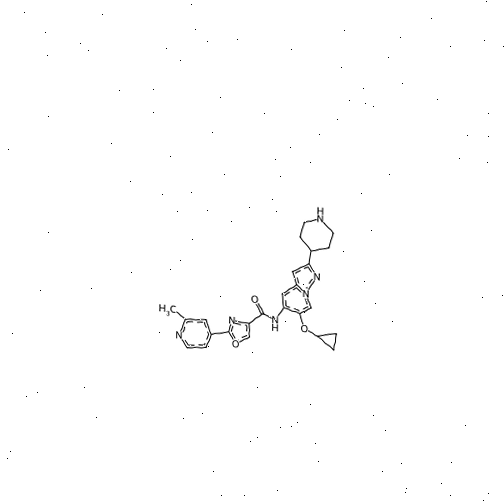 Cc1cc(-c2nc(C(=O)Nc3cc4cc(C5CCNCC5)nn4cc3OC3CC3)co2)ccn1